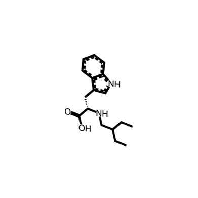 CCC(CC)CN[C@@H](Cc1c[nH]c2ccccc12)C(=O)O